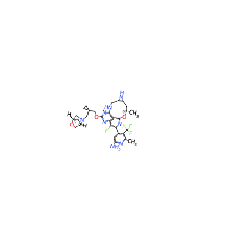 Cc1nc(N)cc(-c2nc3c4c(nc(OCC5(CN6C[C@@H]7C[C@H]6CO7)CC5)nc4c2F)NCC2NC2C[C@H](C)O3)c1C(F)(F)F